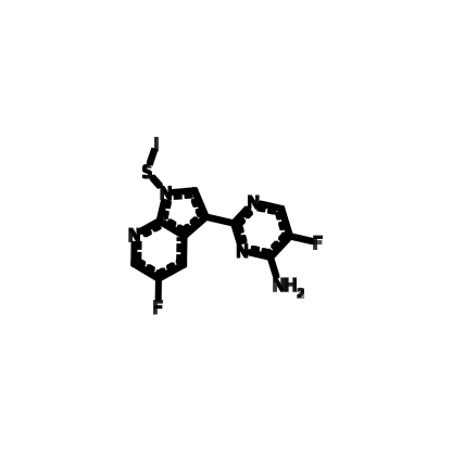 Nc1nc(-c2cn(SI)c3ncc(F)cc23)ncc1F